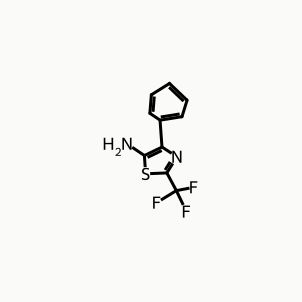 Nc1sc(C(F)(F)F)nc1-c1ccccc1